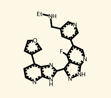 CCNCc1cncc(-c2cnc3[nH]nc(-c4nc5c(-c6ccoc6)ccnc5[nH]4)c3c2F)c1